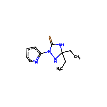 CCC1(CC)NC(=S)N(c2ccccn2)N1